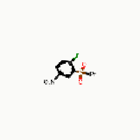 CC(C)S(=O)(=O)c1cc([N+](=O)[O-])ccc1F